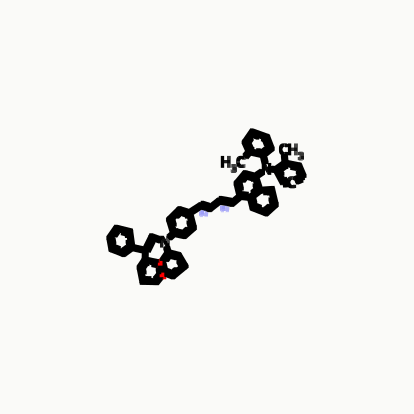 Cc1ccccc1N(c1ccccc1C)c1ccc(/C=C/C=C/c2ccc(N(C=C(c3ccccc3)c3ccccc3)c3ccccc3)cc2)c2ccccc12